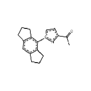 CC(=O)c1ccn(-c2c3c(cc4c2CCC4)CCC3)n1